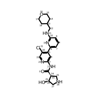 O=C(Nc1cc(-c2cccc(NCC3CCOCC3)n2)c(Cl)cn1)[C@H]1CNC[C@H]1O